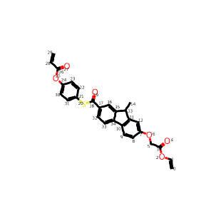 C=COC(=O)COc1ccc2c(c1)C(C)c1cc(C(=O)Sc3ccc(OC(=O)C=C)cc3)ccc1-2